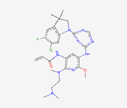 C=CC(=O)Nc1cc(Nc2ncnc(N3CC(C)(C)c4cc(F)c(Cl)cc43)n2)c(OC)nc1N(C)CCN(C)C